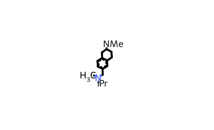 CNC1CCc2cc(CN(C)C(C)C)ccc2C1